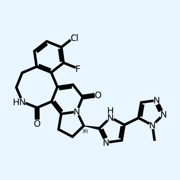 Cn1nncc1-c1cnc([C@H]2CCc3c4c(cc(=O)n32)-c2c(ccc(Cl)c2F)CCNC4=O)[nH]1